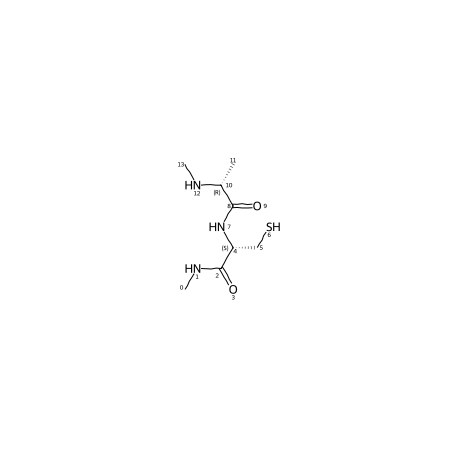 CNC(=O)[C@@H](CS)NC(=O)[C@@H](C)NC